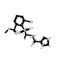 COC(=O)c1cccc(Cl)c1S(=O)(=O)C(C)NC(=O)c1cocn1